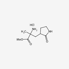 COC(=O)C(C)(N)CC1CCNC1=O.Cl